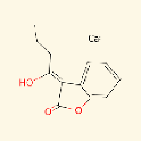 CCC/C(O)=C1/C(=O)Oc2ccccc21.[Ca]